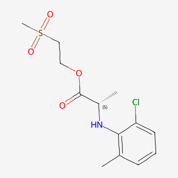 Cc1cccc(Cl)c1N[C@@H](C)C(=O)OCCS(C)(=O)=O